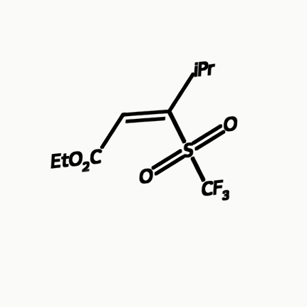 CCOC(=O)C=C(C(C)C)S(=O)(=O)C(F)(F)F